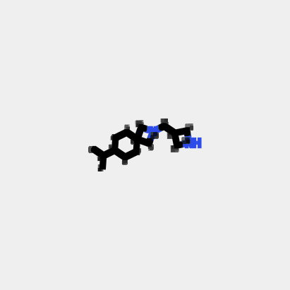 CC(C)C1CCC2(CC1)CN(CC1CNC1)C2